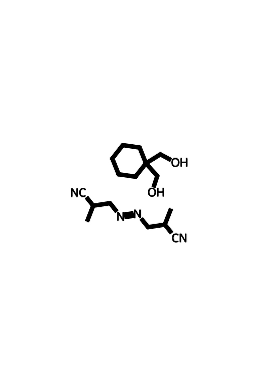 CC(C#N)CN=NCC(C)C#N.OCC1(CO)CCCCC1